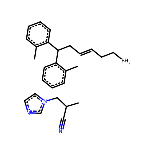 BCCC=CCC(c1ccccc1C)c1ccccc1C.CC(C#N)Cn1ccnc1